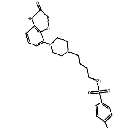 O=C1COc2c(cccc2N2CCN(CCCCNS(=O)(=O)c3ccc(F)cc3)CC2)N1